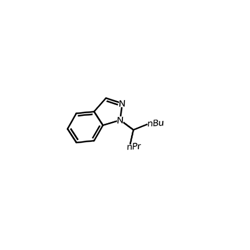 CCCCC(CCC)n1ncc2ccccc21